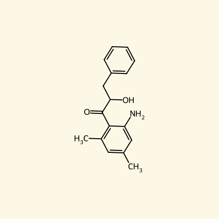 Cc1cc(C)c(C(=O)C(O)Cc2ccccc2)c(N)c1